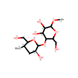 CCCOC1OC(CO)C(OC2OC(CO)C(OC)C[C@@H]2O)C(O)C1O